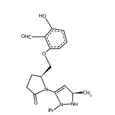 CC(C)N1N[C@H](C)C=C1N1C(=O)CC[C@H]1COc1cccc(O)c1C=O